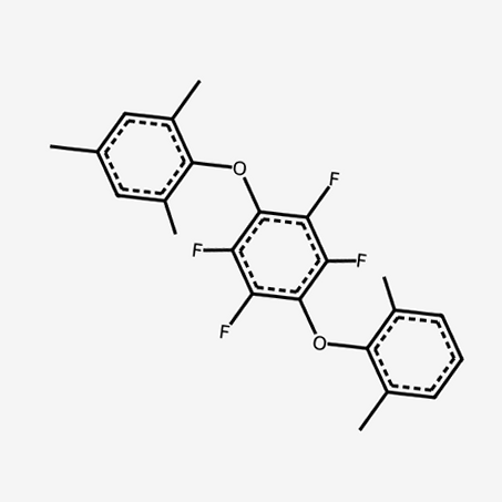 Cc1cc(C)c(Oc2c(F)c(F)c(Oc3c(C)cccc3C)c(F)c2F)c(C)c1